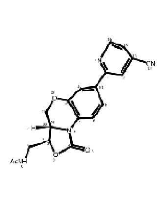 CC(=O)NC[C@@H]1OC(=O)N2c3ccc(-c4cc(C#N)ccn4)cc3OC[C@@H]12